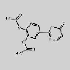 CC(=O)Oc1ccc(C2=NC=CC(=O)C2)cc1OC(C)=O